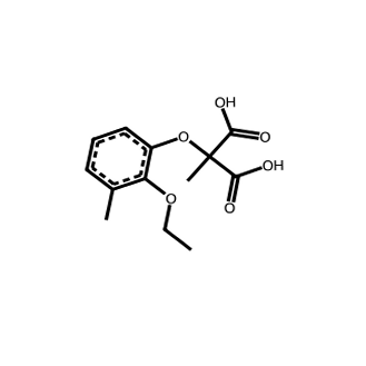 CCOc1c(C)cccc1OC(C)(C(=O)O)C(=O)O